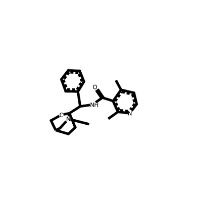 Cc1ccnc(C)c1C(=O)NC(c1ccccc1)C12CCC(CC1)CN2C